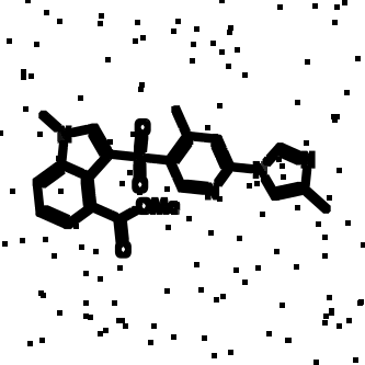 COC(=O)c1cccc2c1c(S(=O)(=O)c1cnc(-n3cnc(C)c3)cc1C)cn2C